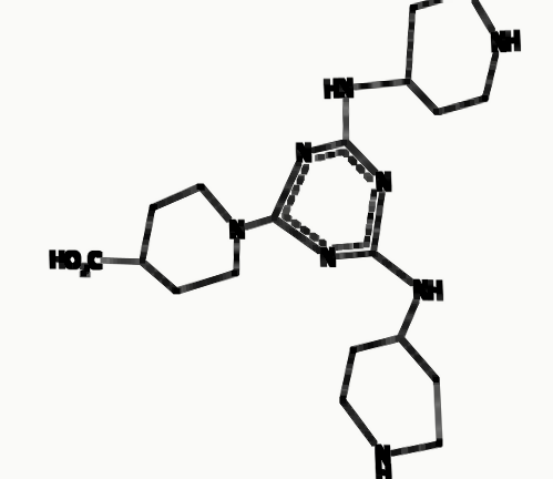 O=C(O)C1CCN(c2nc(NC3CCNCC3)nc(NC3CCNCC3)n2)CC1